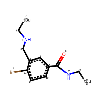 CC(C)(C)CNCc1cc(C(=O)NCC(C)(C)C)ccc1Br